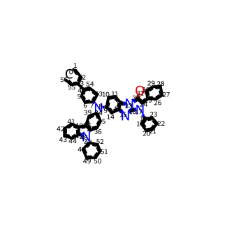 c1ccc(-c2ccc(N(c3ccc4c(c3)nc3n(-c5ccccc5)c5c6ccccc6oc5n43)c3ccc4c(c3)c3ccccc3n4-c3ccccc3)cc2)cc1